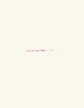 CCCCCCCCC=CCCCCCCCC(=O)NCCOCCOCCOCCOCCOCCO